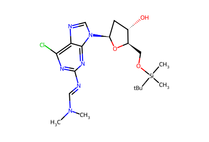 CN(C)C=Nc1nc(Cl)c2ncn([C@H]3C[C@H](O)[C@@H](CO[Si](C)(C)C(C)(C)C)O3)c2n1